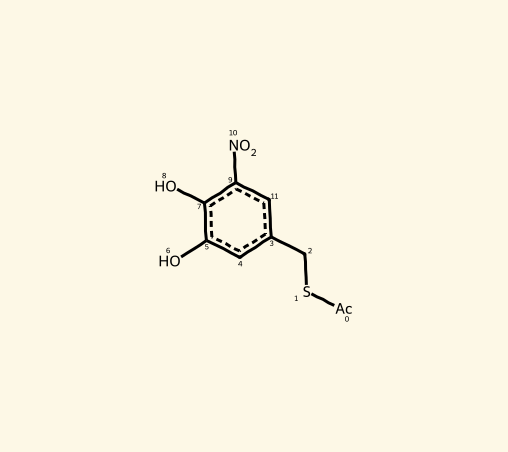 CC(=O)SCc1cc(O)c(O)c([N+](=O)[O-])c1